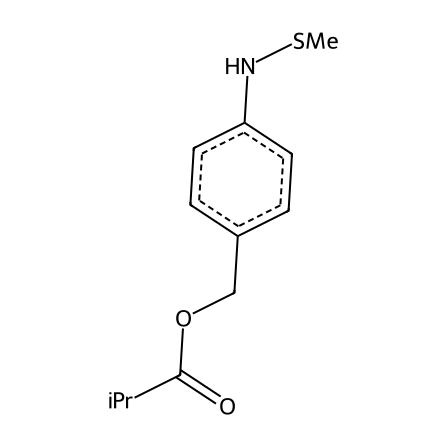 CSNc1ccc(COC(=O)C(C)C)cc1